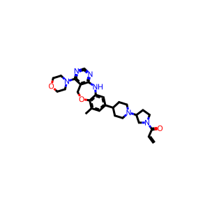 C=CC(=O)N1CCC(N2CCC(c3cc(C)c4c(c3)Nc3ncnc(N5CCOCC5)c3CO4)CC2)C1